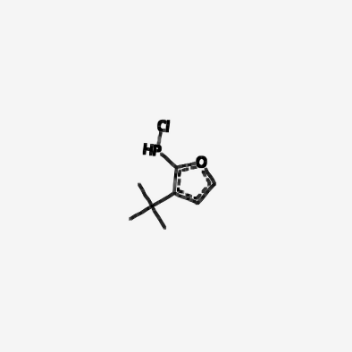 CC(C)(C)c1ccoc1PCl